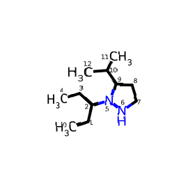 CCC(CC)N1NCCC1C(C)C